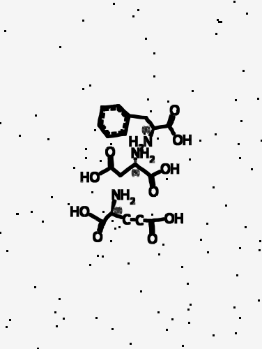 N[C@@H](CC(=O)O)C(=O)O.N[C@@H](CCC(=O)O)C(=O)O.N[C@@H](Cc1ccccc1)C(=O)O